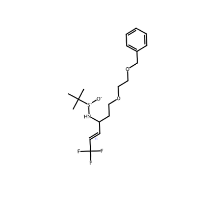 CC(C)(C)[S+]([O-])NC(/C=C/C(F)(F)F)CCOCCOCc1ccccc1